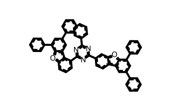 c1ccc(-c2cc(-c3ccccc3)c3oc4cc(-c5nc(-c6ccccc6)nc(-c6cccc7oc8c(-c9ccccc9)cc(-c9ccccc9)cc8c67)n5)ccc4c3c2)cc1